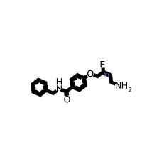 NC/C=C(/F)COc1ccc(C(=O)NCc2ccccc2)cc1